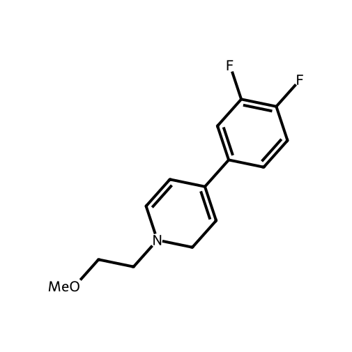 COCCN1C=CC(c2ccc(F)c(F)c2)=CC1